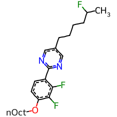 CCCCCCCCOc1ccc(-c2ncc(CCCCC(C)F)cn2)c(F)c1F